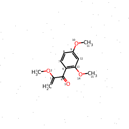 C=C(OC)C(=O)c1ccc(OC)cc1OC